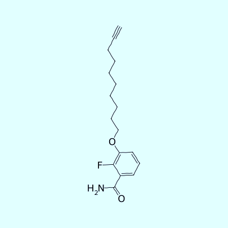 C#CCCCCCCCCOc1cccc(C(N)=O)c1F